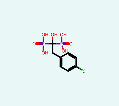 O=P(O)(O)C(O)(Cc1ccc(Cl)cc1)P(=O)(O)O